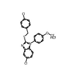 Cl.FC(F)(F)Oc1ccc(-n2c(SCc3ccc(Cl)cc3)nc3cc(Cl)ccc32)cc1